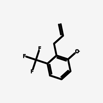 C=CCc1c([O])cccc1C(F)(F)F